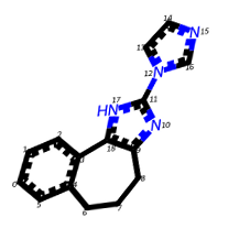 c1ccc2c(c1)CCCc1nc(-n3ccnc3)[nH]c1-2